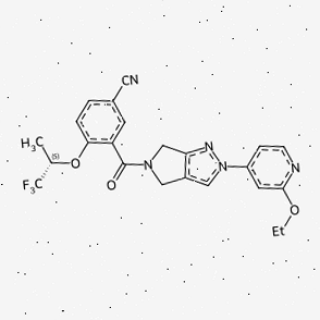 CCOc1cc(-n2cc3c(n2)CN(C(=O)c2cc(C#N)ccc2O[C@@H](C)C(F)(F)F)C3)ccn1